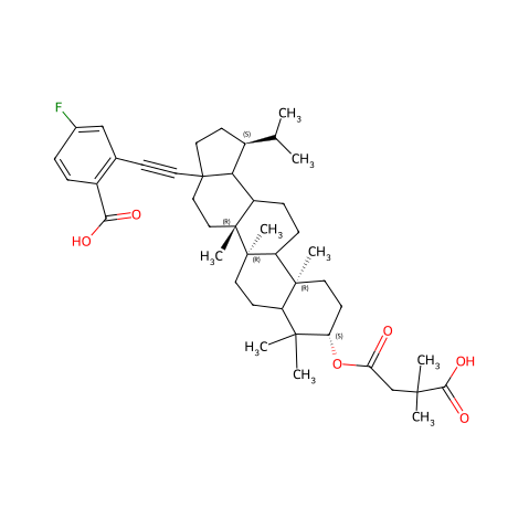 CC(C)[C@@H]1CCC2(C#Cc3cc(F)ccc3C(=O)O)CC[C@]3(C)C(CCC4[C@@]5(C)CC[C@H](OC(=O)CC(C)(C)C(=O)O)C(C)(C)C5CC[C@]43C)C12